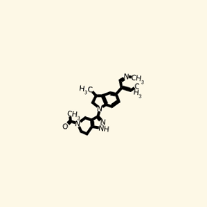 C/C=C(\C=N/C)c1ccc2c(c1)C(C)CN2c1n[nH]c2c1CN(C(C)=O)CC2